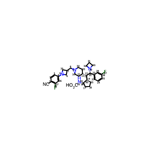 N#Cc1ccc(N2CC(CN3CCC([C@@H]([C@H]4CCC[C@@H]4NC(=O)O)[C@@H](c4cccc(F)c4)N4CCC4)CC3)C2)cc1F